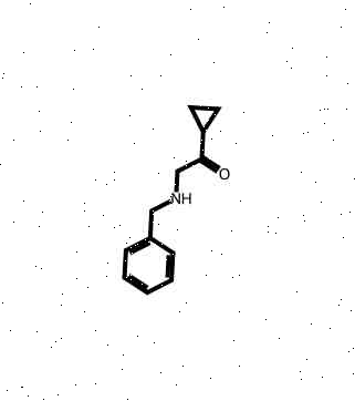 O=C(CNCc1ccccc1)C1CC1